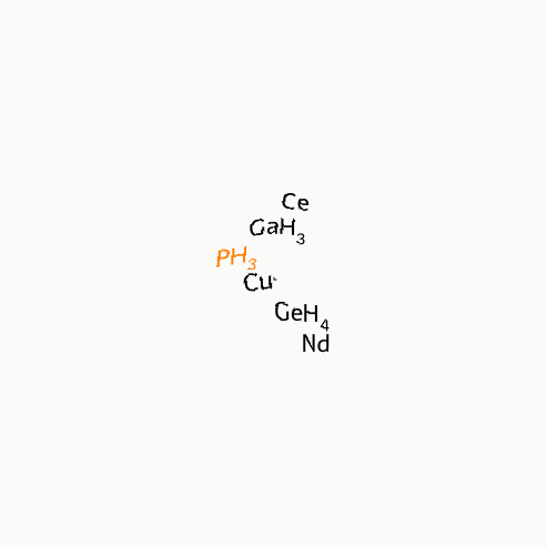 P.[Ce].[Cu].[GaH3].[GeH4].[Nd]